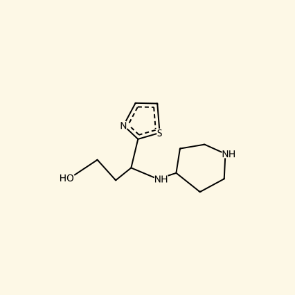 OCCC(NC1CCNCC1)c1nccs1